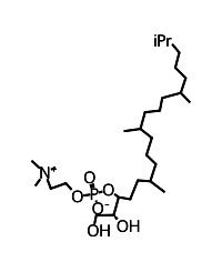 CC(C)CCCC(C)CCCC(C)CCCC(C)CCC(OP(=O)([O-])OCC[N+](C)(C)C)[C@@H](O)CO